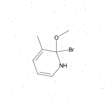 COC1(Br)NC=CC=C1C